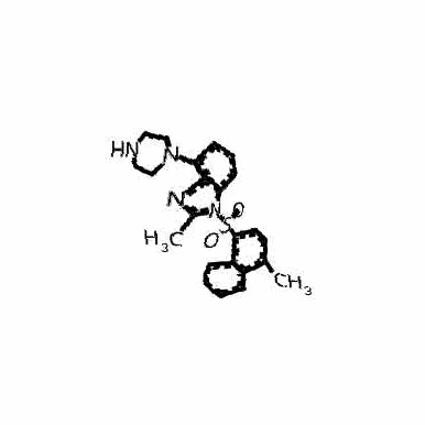 Cc1ccc(S(=O)(=O)n2c(C)nc3c(N4CCNCC4)cccc32)c2ccccc12